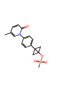 Cc1ccc(=O)n(-c2ccc(C34CC3(OS(C)(=O)=O)C4)cc2)c1